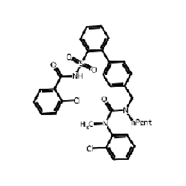 CCCCCN(Cc1ccc(-c2ccccc2S(=O)(=O)NC(=O)c2ccccc2Cl)cc1)C(=O)N(C)c1ccccc1Cl